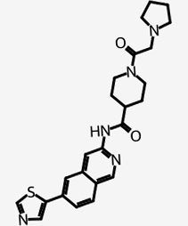 O=C(Nc1cc2cc(-c3cncs3)ccc2cn1)C1CCN(C(=O)CN2CCCC2)CC1